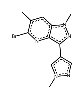 Cc1cc2c(nc1Br)c(-c1cnn(C)c1)nn2C